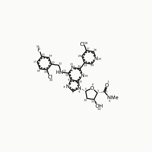 CNC(=O)[C@H]1O[C@@H](n2cnc3c(NCc4cc(F)ccc4Cl)nc(-c4cncc(Cl)c4)nc32)C[C@@H]1O